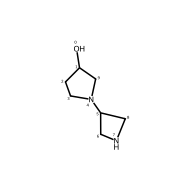 OC1CCN(C2CNC2)C1